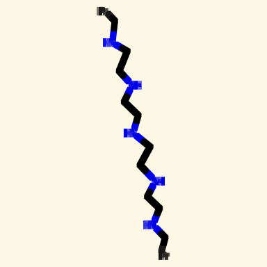 CC(C)CNCCNCCNCCNCCNCC(C)C